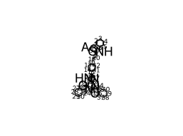 CC(=O)c1ccccc1NC(=O)/C=C/c1ccc(-c2nc3c([nH]2)c(=O)n(CC2CCCCC2)c(=O)n3CC2CCCCC2)cc1